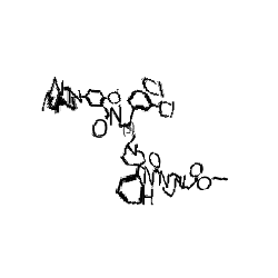 CCOC(=O)CN1CCN(C(=O)NC2(c3ccccc3)CCN(CC[C@H](CN(C)C(=O)c3cc(-n4cnnn4)ccc3OC)c3ccc(Cl)c(Cl)c3)CC2)CC1